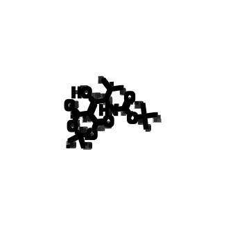 CC(C)[C@H](NC(=O)OC(C)(C)C)C(O)=C1C(=O)OC(C)(C)OC1=O